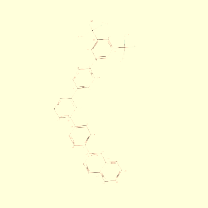 FC(F)(F)c1cc(-c2ccc(-c3cccc(-c4ccc(-c5ccc6ccccc6c5)cc4)c3)cc2)cc(C(F)(F)F)c1